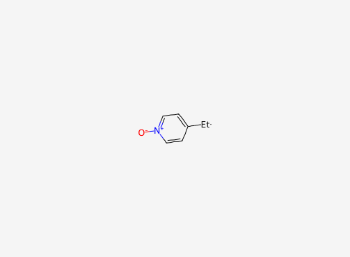 C[CH]c1cc[n+]([O-])cc1